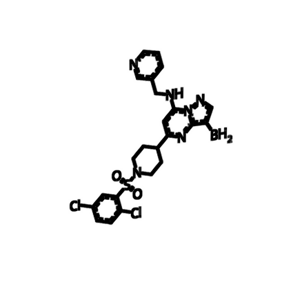 Bc1cnn2c(NCc3cccnc3)cc(C3CCN(S(=O)(=O)c4cc(Cl)ccc4Cl)CC3)nc12